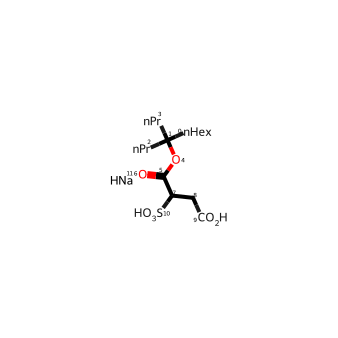 CCCCCCC(CCC)(CCC)OC(=O)C(CC(=O)O)S(=O)(=O)O.[NaH]